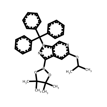 CC(C)Oc1cc2c(B3OC(C)(C)C(C)(C)O3)nn(C(c3ccccc3)(c3ccccc3)c3ccccc3)c2cn1